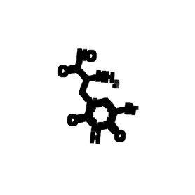 NC(Cn1cc(Br)c(=O)[nH]c1=O)C(=O)N=O